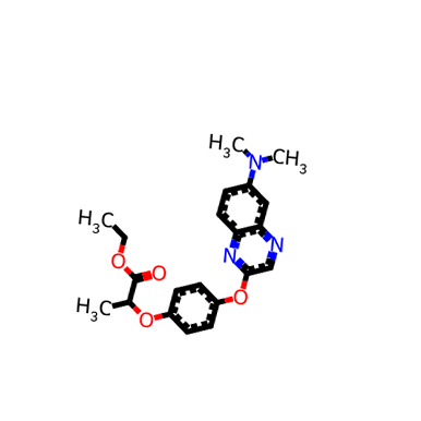 CCOC(=O)C(C)Oc1ccc(Oc2cnc3cc(N(C)C)ccc3n2)cc1